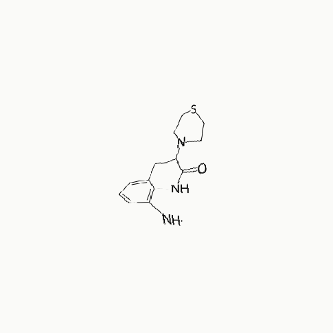 [NH]c1cccc2c1NC(=O)C(N1CCSCC1)C2